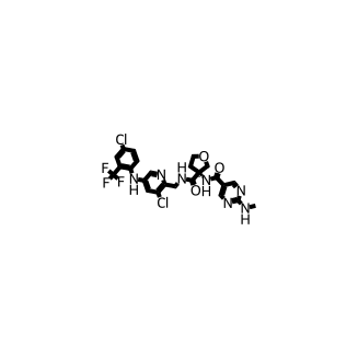 CNc1ncc(C(=O)N[C@@]2(C(=O)NCc3ncc(Nc4ccc(Cl)cc4C(F)(F)F)cc3Cl)CCOC2)cn1